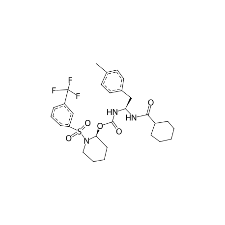 Cc1ccc(C[C@H](NC(=O)O[C@H]2CCCCN2S(=O)(=O)c2cccc(C(F)(F)F)c2)NC(=O)C2CCCCC2)cc1